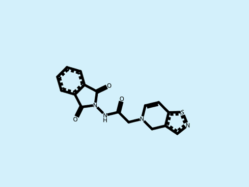 O=C(CN1C=Cc2sncc2C1)NN1C(=O)c2ccccc2C1=O